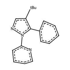 CC(C)(C)c1cnn(-c2ccccn2)c1-c1ccccc1